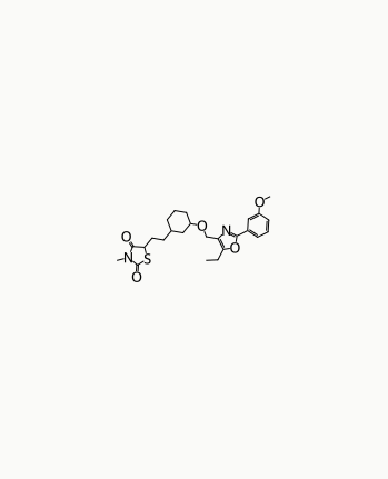 CCc1oc(-c2cccc(OC)c2)nc1COC1CCCC(CCC2SC(=O)N(C)C2=O)C1